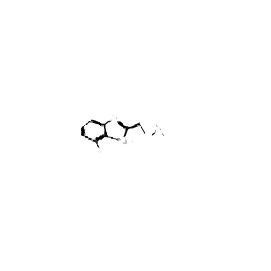 CCc1cccc2nc(CON(CC)C(=O)O)[nH]c12